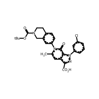 Cc1cc2c(C(=O)O)nn(-c3cccc(Cl)c3)c2c(=O)n1-c1ccc2c(c1)CN(C(=O)OC(C)(C)C)CC2